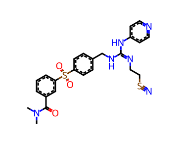 CN(C)C(=O)c1cccc(S(=O)(=O)c2ccc(CN/C(=N\CCS#N)Nc3ccncc3)cc2)c1